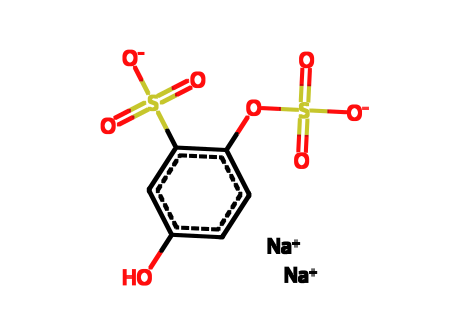 O=S(=O)([O-])Oc1ccc(O)cc1S(=O)(=O)[O-].[Na+].[Na+]